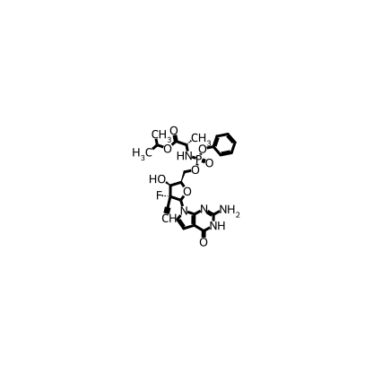 C#C[C@]1(F)C(n2ccc3c(=O)[nH]c(N)nc32)O[C@H](COP(=O)(N[C@@H](C)C(=O)OC(C)C)Oc2ccccc2)[C@@H]1O